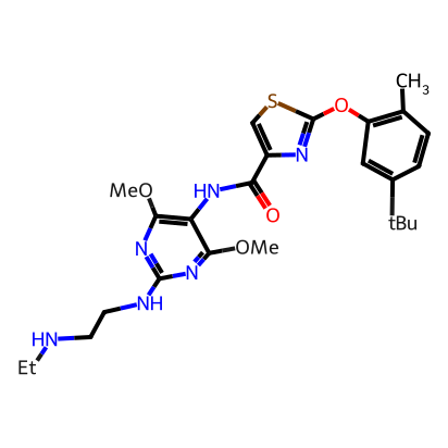 CCNCCNc1nc(OC)c(NC(=O)c2csc(Oc3cc(C(C)(C)C)ccc3C)n2)c(OC)n1